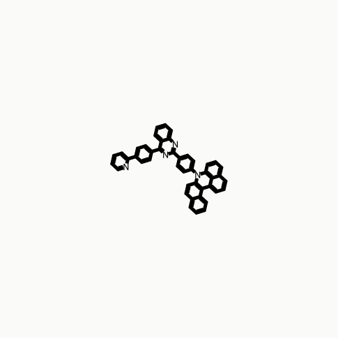 c1ccc(-c2ccc(-c3nc(-c4ccc(N5c6ccc7ccccc7c6-c6cccc7cccc5c67)cc4)nc4ccccc34)cc2)nc1